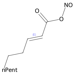 CCCCCCC/C=C/C(=O)ON=O